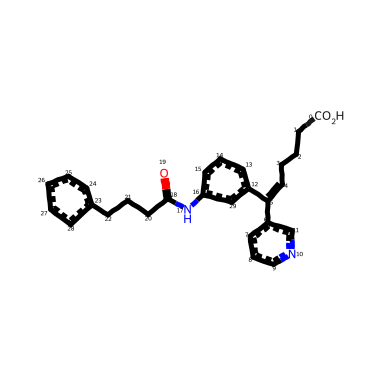 O=C(O)CCCC=C(c1cccnc1)c1cccc(NC(=O)CCCc2ccccc2)c1